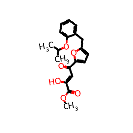 COC(=O)C(O)=CC(=O)c1ccc(Cc2ccccc2OC(C)C)o1